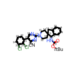 CC(C)(C)OC(=O)N[C@@H]1c2ccccc2CC12CCN(c1ncc(-c3cccc(Cl)c3Cl)c(C#N)n1)CC2